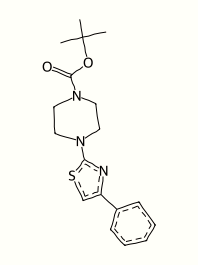 CC(C)(C)OC(=O)N1CCN(c2nc(-c3ccccc3)cs2)CC1